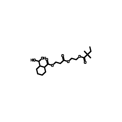 CCC(C)(C)C(=O)OCCOC(=O)CCOC(=O)C1CCCCC1C(O)O